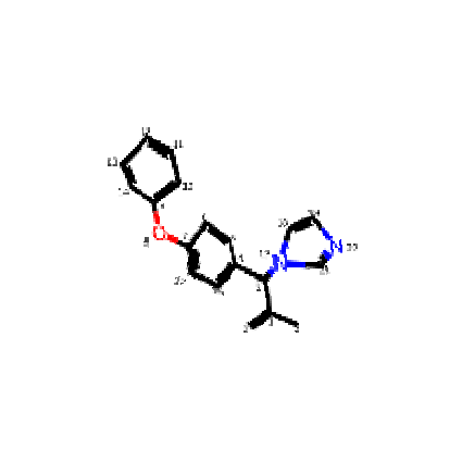 C=C(C)C(c1ccc(Oc2ccccc2)cc1)n1ccnc1